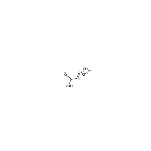 C.C=CC(=O)O.CCl